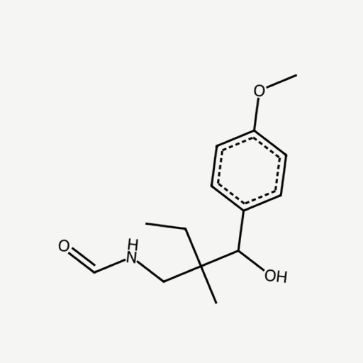 CCC(C)(CNC=O)C(O)c1ccc(OC)cc1